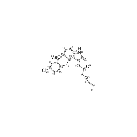 CC=NOCC(=O)Oc1c(C)[nH]c2ccc(OC)c(Cc3ccc(Cl)cc3)c12